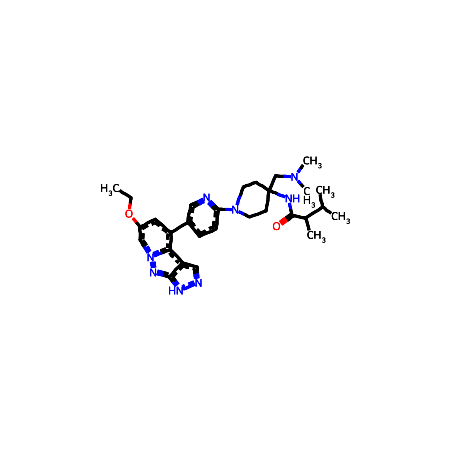 CCOc1cc(-c2ccc(N3CCC(CN(C)C)(NC(=O)C(C)C(C)C)CC3)nc2)c2c3cn[nH]c3nn2c1